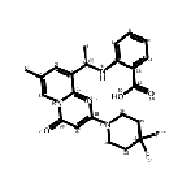 Cc1cc([C@@H](C)Nc2ccccc2C(=O)O)c2nc(N3CCC(F)(F)CC3)cc(=O)n2c1